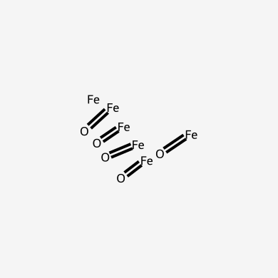 [Fe].[O]=[Fe].[O]=[Fe].[O]=[Fe].[O]=[Fe].[O]=[Fe]